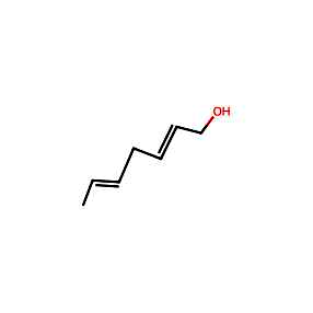 C/C=C/C/C=C/CO